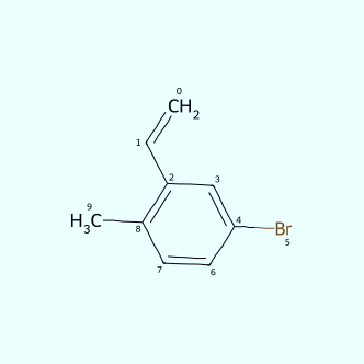 C=Cc1cc(Br)ccc1C